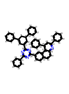 C1=C(c2ccccc2)CC(c2ccccc2)C=C1c1nc(-c2ccccc2)nc(-c2ccc3ccc4nc(-c5ccccc5)cc(-c5ccccc5)c4c3c2)n1